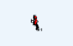 CC(O)C1CCN(c2ccc3c(C(=O)NCC4CCC(F)(F)CC4)c(Cl)ccc3n2)C1